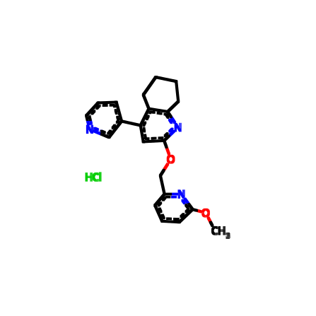 COc1cccc(COc2cc(-c3cccnc3)c3c(n2)CCCC3)n1.Cl